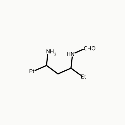 CCC(N)CC(CC)NC=O